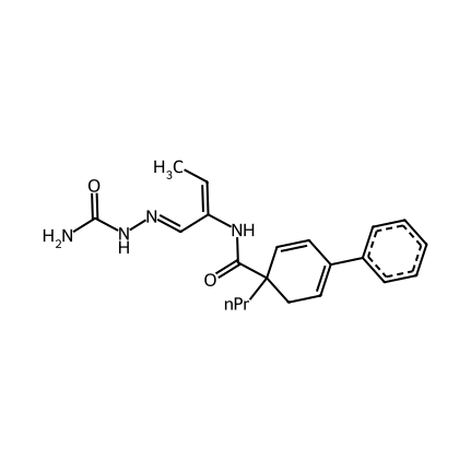 CC=C(C=NNC(N)=O)NC(=O)C1(CCC)C=CC(c2ccccc2)=CC1